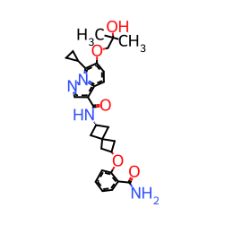 CC(C)(O)COc1ccc2c(C(=O)N[C@H]3CC4(C3)C[C@H](Oc3ccccc3C(N)=O)C4)cnn2c1C1CC1